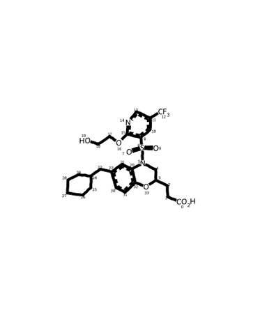 O=C(O)CCC1CN(S(=O)(=O)c2cc(C(F)(F)F)cnc2OCCO)c2cc(CC3CCCCC3)ccc2O1